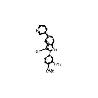 CCc1c(-c2ccc(OC)c(OC)c2)[nH]c2ccc(-c3cccnc3)cc12